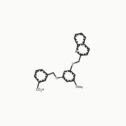 COc1cc(OCc2cccc(C(=O)O)c2)cc(OCc2ccc3ccccc3n2)c1